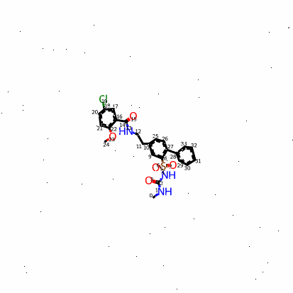 CNC(=O)NS(=O)(=O)c1cc(CCNC(=O)c2cc(Cl)ccc2OC)ccc1-c1ccccc1